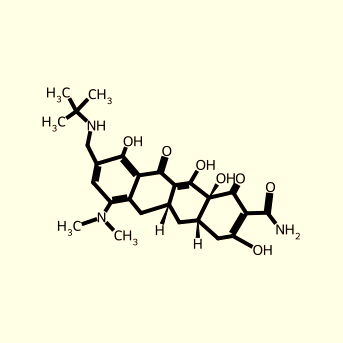 CN(C)c1cc(CNC(C)(C)C)c(O)c2c1C[C@H]1C[C@H]3CC(O)=C(C(N)=O)C(=O)[C@@]3(O)C(O)=C1C2=O